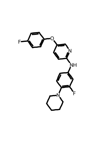 Fc1ccc(Oc2ccc(Nc3ccc(N4CCCCC4)c(F)c3)nc2)cc1